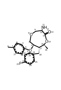 Cc1ccc(O[C@H]2COC[C@H](N)C(=O)O[C@@H](C)[C@@H]2Cc2ccc(F)cc2)cc1